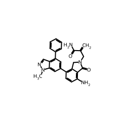 C=C(CN1Cc2c(-c3cc(-c4ccccc4)c4cnn(C)c4c3)ccc(N)c2C1=O)C(N)=O